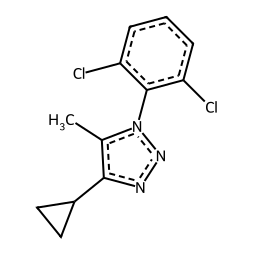 Cc1c(C2CC2)nnn1-c1c(Cl)cccc1Cl